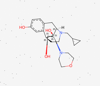 Oc1ccc2c(c1)[C@]13CCN(CC4CC4)[C@H](C2)[C@]1(O)C[C@@H](N1CCOCC1)[C@@H](O)C3